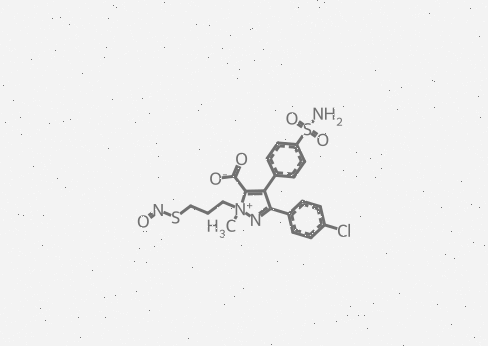 C[N+]1(CCCSN=O)N=C(c2ccc(Cl)cc2)C(c2ccc(S(N)(=O)=O)cc2)=C1C(=O)[O-]